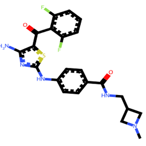 CN1CC(CNC(=O)c2ccc(Nc3nc(N)c(C(=O)c4c(F)cccc4F)s3)cc2)C1